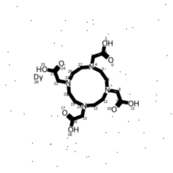 O=C(O)CN1CCN(CC(=O)O)CCN(CC(=O)O)CCN(CC(=O)O)CC1.[Dy]